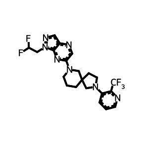 FC(F)Cn1ncc2ncc(N3CCCC4(CCN(c5cccnc5C(F)(F)F)C4)C3)nc21